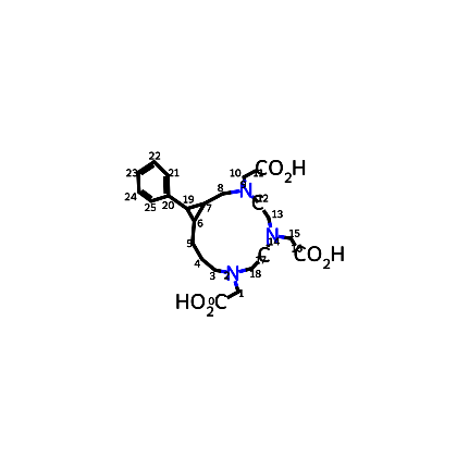 O=C(O)CN1CCCC2C(CN(CC(=O)O)CCN(CC(=O)O)CC1)C2c1ccccc1